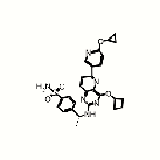 C[C@@H](Nc1nc(OC2CCC2)c2nc(-c3ccc(OC4CC4)nc3)ccc2n1)c1ccc(S(N)(=O)=O)cc1